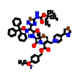 COc1ccc(COC(=O)C2=C(C[n+]3ccc(-c4cscn4)cc3)CS[C@H]3[C@H](NC(=O)C(=NOC(c4ccccc4)(c4ccccc4)c4ccccc4)c4nsc(NC(=O)OC(C)(C)C)n4)C(=O)N23)cc1.[I-]